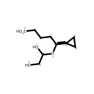 O=C(O)CCCC(OC(O)CO)=C1CC1